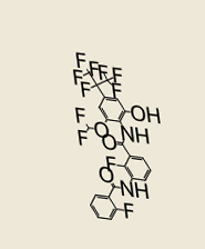 O=C(Nc1cccc(C(=O)Nc2c(O)cc(C(F)(C(F)(F)F)C(F)(F)F)cc2OC(F)F)c1F)c1ccccc1F